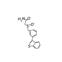 NC(=O)C[S+]([O-])Cc1cccc(-c2csc3ccccc23)c1